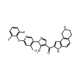 Cc1cc(Oc2c(F)cccc2F)ncc1-n1ncc(C(=O)c2cc3c4c(ccc3[nH]2)CCNC4)c1N